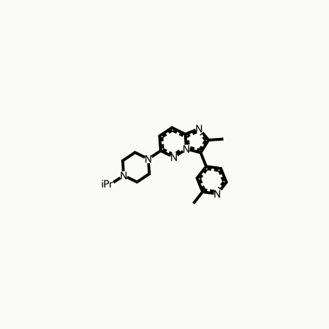 Cc1cc(-c2c(C)nc3ccc(N4CCN(C(C)C)CC4)nn23)ccn1